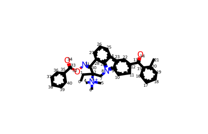 CCC1([N+](C)(C)C)Cn2c3ccc(C(=O)c4ccccc4C)cc3c3cccc(c32)/C1=N/OC(=O)c1ccccc1